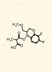 COCC1COc2c(ccc(F)c2F)N1OC(=O)C(C)C(=O)O